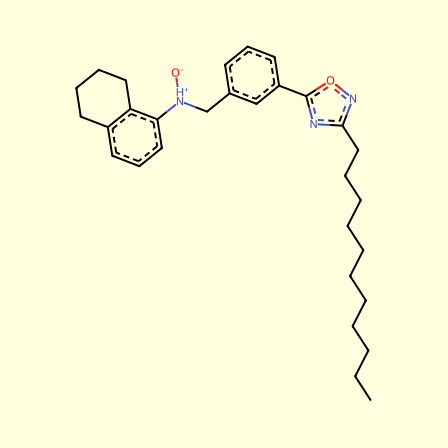 CCCCCCCCCCCc1noc(-c2cccc(C[NH+]([O-])c3cccc4c3CCCC4)c2)n1